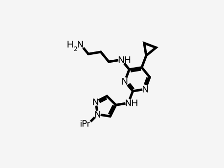 CC(C)n1cc(Nc2ncc(C3CC3)c(NCCCN)n2)cn1